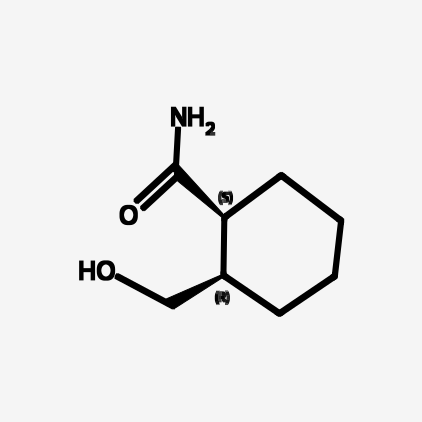 NC(=O)[C@H]1CCCC[C@H]1CO